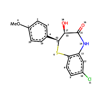 COc1ccc([C@@H]2Sc3ccc(Cl)cc3NC(=O)[C@@H]2O)cc1